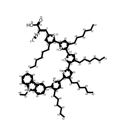 [C-]#[N+]/C(=C\c1cc(CCCCCC)c(-c2cc(CCCCCC)c(-c3cc(CCCCCC)c(-c4cc(CCCCCC)c(-c5cc(CCCCCC)c(-c6ccc7c(c6)c6ccccc6n7CC)s5)s4)s3)s2)s1)C(=O)O